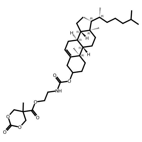 CC(C)CCC[C@@H](C)[C@H]1CC[C@H]2[C@@H]3CC=C4CC(OC(=O)NCCOC(=O)C5(C)COC(=O)OC5)CC[C@]4(C)[C@H]3CC[C@]12C